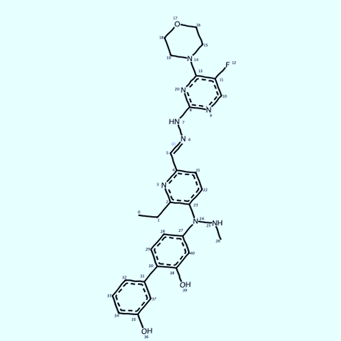 CCc1nc(/C=N/Nc2ncc(F)c(N3CCOCC3)n2)ccc1N(NC)c1ccc(-c2cccc(O)c2)c(O)c1